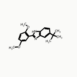 COc1ccc(OC)c(-c2nc3cc(C(C)(C)C)ccc3[nH]2)c1